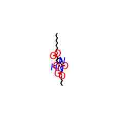 CCCCCCCCOC(=O)c1cnc(C(=O)NCC(=O)OCCCC)c(OC)c1